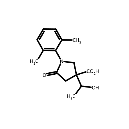 Cc1cccc(C)c1N1CC(C(=O)O)(C(C)O)CC1=O